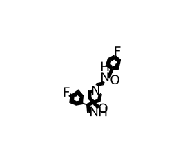 O=C(NCCN1CCC2(CC1)C(=O)NC[C@H]2c1ccc(F)cc1)c1ccc(F)cc1